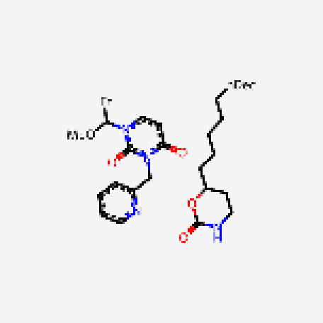 CCC(OC)n1ccc(=O)n(Cc2ccccn2)c1=O.CCCCCCCCCCCCCCCC1CCNC(=O)O1